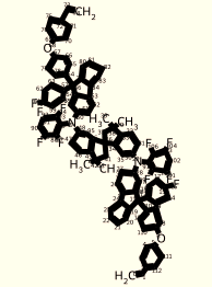 C=Cc1ccc(Oc2ccc(C3(c4ccc(F)cc4)c4ccccc4-c4ccc(N(c5ccc6c(c5)C5(CC6(C)C)CC(C)(C)c6ccc(N(c7ccc8c(c7)C(c7ccc(F)cc7)(c7ccc(Oc9ccc(C=C)cc9)cc7)c7ccccc7-8)c7c(F)c(F)cc(F)c7F)cc65)c5c(F)c(F)cc(F)c5F)cc43)cc2)cc1